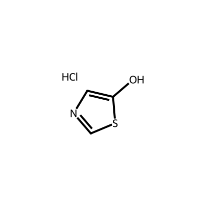 Cl.Oc1cncs1